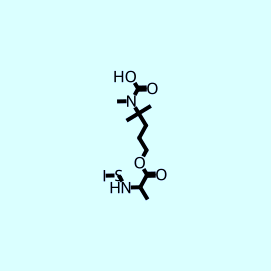 CC(NSI)C(=O)OCCCC(C)(C)N(C)C(=O)O